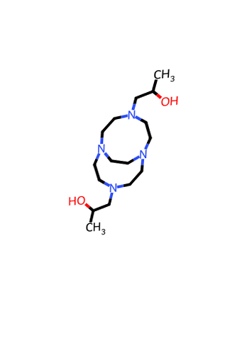 CC(O)CN1CCN2CCN(CC1)CCN(CC(C)O)CC2